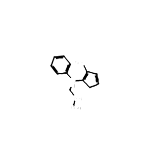 CCCCNC[SiH](C1=C(CCC)C=CC1)c1ccccc1